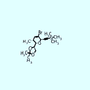 C[C@@H]1C=C(Br)[C@@H](C#C[Si](C)(C)C)O[C@@H]1[C@H]1COC(C)(C)O1